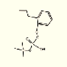 C=CCc1ccccc1OOP(=O)(O)O[Si](C)(C)C